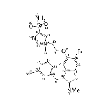 CNC1Cc2cc(F)c(OCC[N+]3(C)C=NC(S(N)(=O)=O)=C3)cc2C1Cc1cccc(F)c1